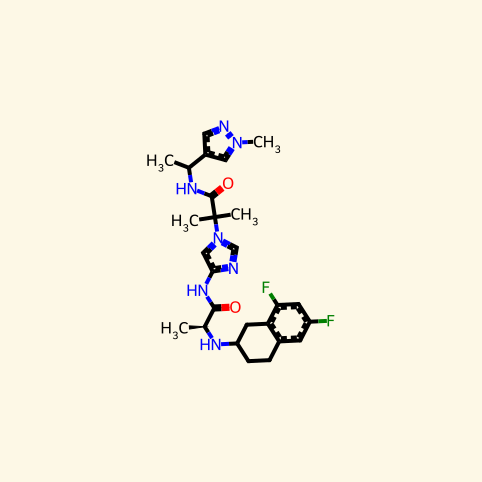 CC(NC(=O)C(C)(C)n1cnc(NC(=O)[C@H](C)NC2CCc3cc(F)cc(F)c3C2)c1)c1cnn(C)c1